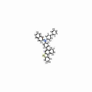 c1ccc(-c2ccc(N(c3ccc(-c4cc5sc6ccccc6c5c5ccccc45)cc3)c3ccc4ccccc4c3)cc2)cc1